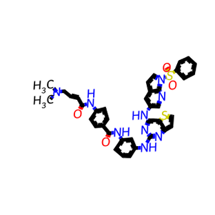 CN(C)C/C=C/C(=O)Nc1ccc(C(=O)Nc2cccc(Nc3nc(Nc4cnc5c(ccn5S(=O)(=O)c5ccccc5)c4)c4sccc4n3)c2)cc1